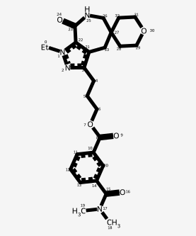 CCn1nc(CCCOC(=O)c2cccc(C(=O)N(C)C)c2)c2c1C(=O)NCC1(CCOCC1)C2